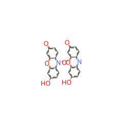 O=c1ccc2[n+]([O-])c3ccc(O)cc3oc-2c1.O=c1ccc2nc3ccc(O)cc3oc-2c1